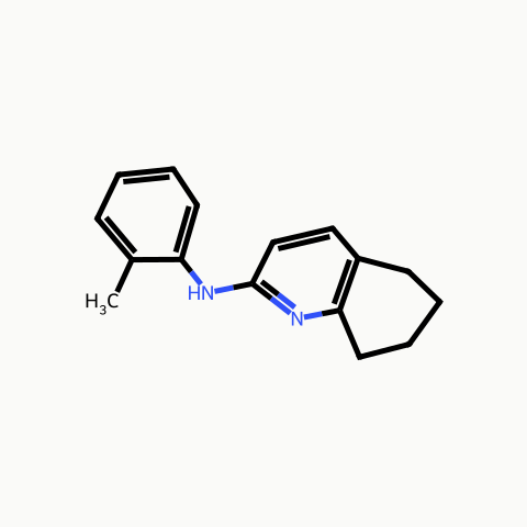 Cc1ccccc1Nc1ccc2c(n1)CCCC2